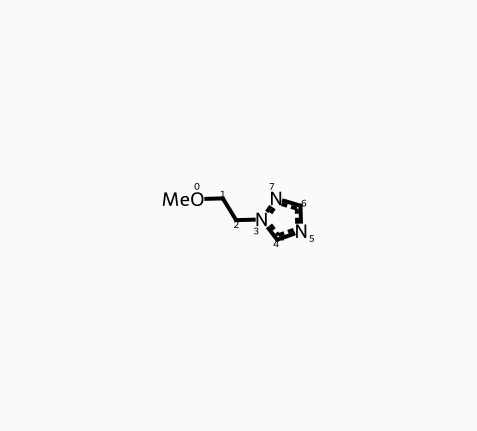 COCCn1[c]ncn1